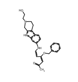 CC(=O)/C=C(\C=C/Nc1ccc2c3c([nH]c2c1)CN(CCO)CC3)OCc1ccccc1